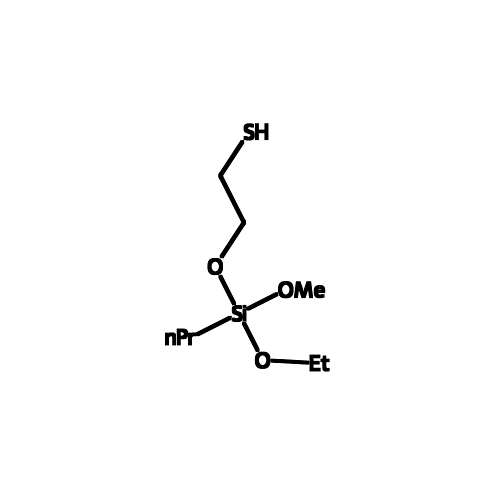 CCC[Si](OC)(OCC)OCCS